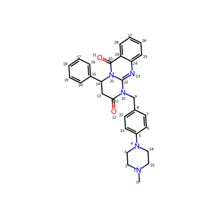 CN1CCN(c2ccc(CN3C(=O)CC(c4ccccc4)n4c3nc3ccccc3c4=O)cc2)CC1